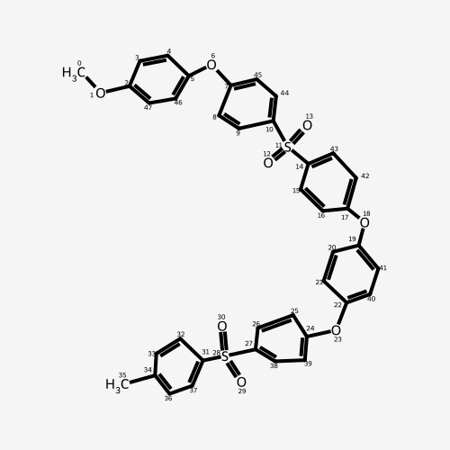 COc1ccc(Oc2ccc(S(=O)(=O)c3ccc(Oc4ccc(Oc5ccc(S(=O)(=O)c6ccc(C)cc6)cc5)cc4)cc3)cc2)cc1